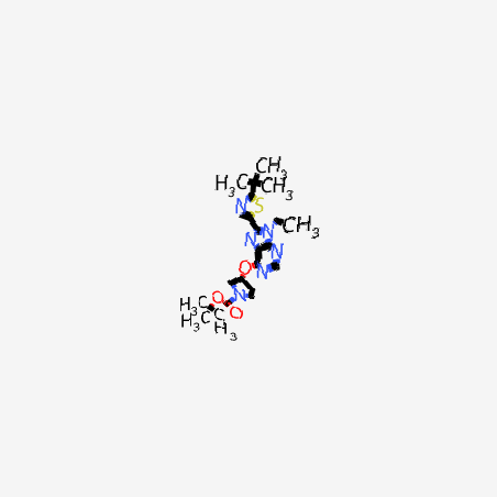 CCn1c(-c2cnc(C(C)(C)C)s2)nc2c(OC3CCN(C(=O)OC(C)(C)C)C3)ncnc21